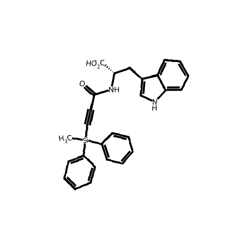 C[Si](C#CC(=O)N[C@@H](Cc1c[nH]c2ccccc12)C(=O)O)(c1ccccc1)c1ccccc1